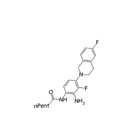 CCCCCC(=O)Nc1ccc(N2CCc3cc(F)ccc3C2)c(F)c1N